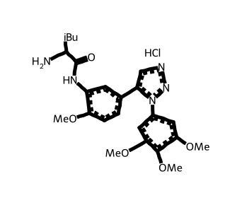 CCC(C)C(N)C(=O)Nc1cc(-c2cnnn2-c2cc(OC)c(OC)c(OC)c2)ccc1OC.Cl